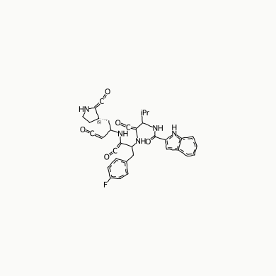 CC(C)C(NC(=O)c1cc2ccccc2[nH]1)C(=C=O)NC(Cc1ccc(F)cc1)C(=C=O)NC(C=C=O)C[C@@H]1CCNC1=C=O